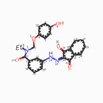 CCN(COc1ccc(O)cc1)C(=O)c1cccc(NN=c2c(=O)c3ccccc3c2=O)c1